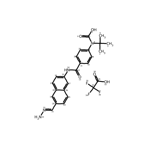 CC(C)(C)N(C(=O)O)c1ccc(C(=O)Nc2ccc3cc(C=NN)ccc3c2)cc1.O=C(O)C(F)(F)F